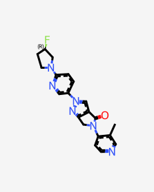 Cc1cnccc1N1Cc2nn(-c3ccc(N4CC[C@@H](F)C4)nc3)cc2C1=O